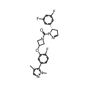 Cc1cnn(C)c1-c1ccc(F)c(OC2CN(C(=O)N3N=CC[C@H]3c3cc(F)cc(F)c3)C2)c1